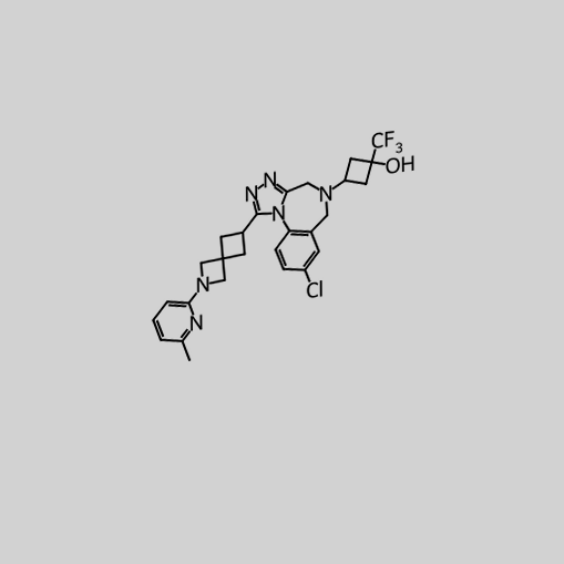 Cc1cccc(N2CC3(CC(c4nnc5n4-c4ccc(Cl)cc4CN(C4CC(O)(C(F)(F)F)C4)C5)C3)C2)n1